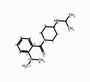 CC(C)NC1CCN(C(=O)c2ccccc2N(C)C)CC1